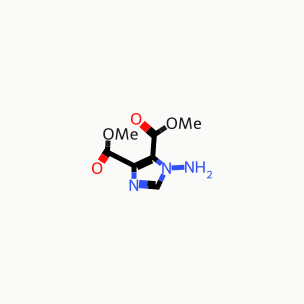 COC(=O)c1ncn(N)c1C(=O)OC